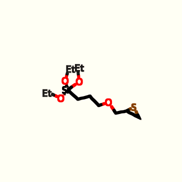 CCO[Si](CCCOCC1CS1)(OCC)OCC